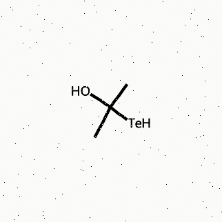 CC(C)(O)[TeH]